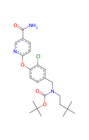 CC(C)(C)CCN(Cc1ccc(Oc2ccc(C(N)=O)cn2)c(Cl)c1)C(=O)OC(C)(C)C